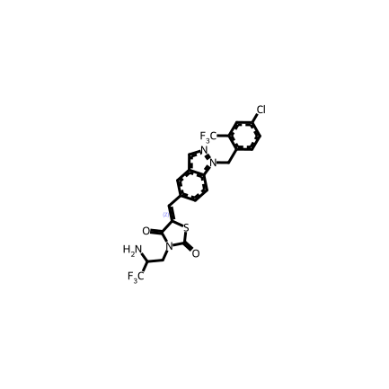 NC(CN1C(=O)S/C(=C\c2ccc3c(cnn3Cc3ccc(Cl)cc3C(F)(F)F)c2)C1=O)C(F)(F)F